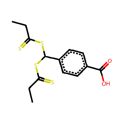 CCC(=S)SC(SC(=S)CC)c1ccc(C(=O)O)cc1